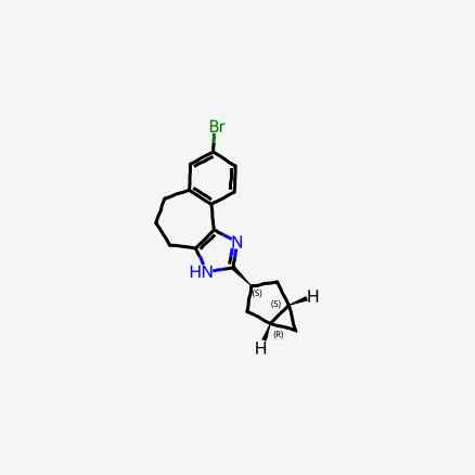 Brc1ccc2c(c1)CCCc1[nH]c([C@H]3C[C@@H]4C[C@@H]4C3)nc1-2